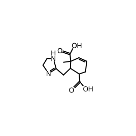 CC1(C(=O)O)C=CCC(C(=O)O)C1CC1=NCCN1